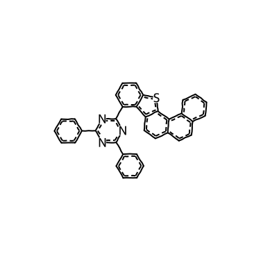 c1ccc(-c2nc(-c3ccccc3)nc(-c3cccc4sc5c(ccc6ccc7ccccc7c65)c34)n2)cc1